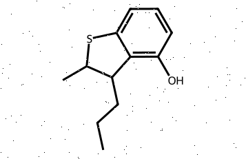 CCCC1c2c(O)cccc2SC1C